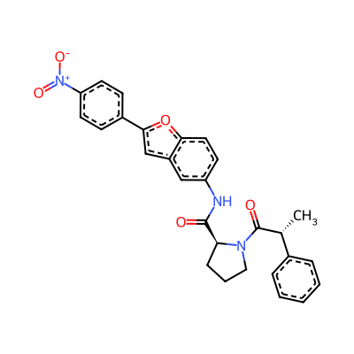 C[C@@H](C(=O)N1CCC[C@H]1C(=O)Nc1ccc2oc(-c3ccc([N+](=O)[O-])cc3)cc2c1)c1ccccc1